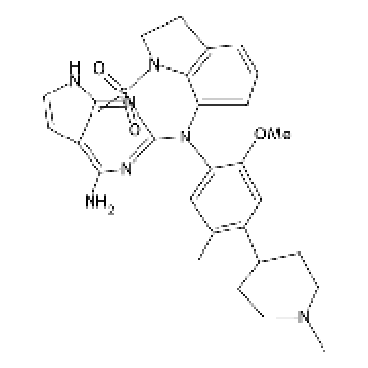 COc1cc(C2CCN(C)CC2)c(C)cc1N(c1nc(N)c2cc[nH]c2n1)c1cccc2c1N(S(C)(=O)=O)CC2